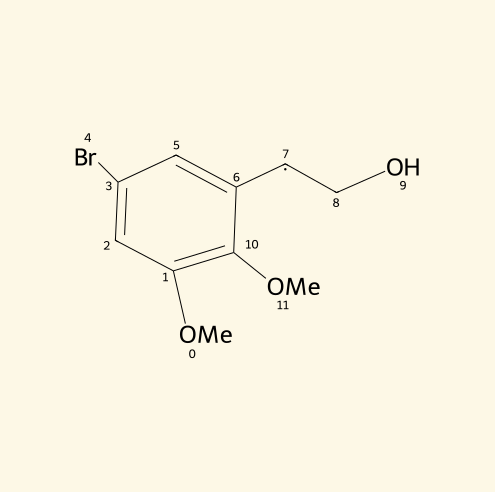 COc1cc(Br)cc([CH]CO)c1OC